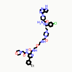 CCc1cccc(-c2cnc(C(=O)NCCOCCNCC(=O)N3CCN(CC[C@H](NC(=O)C4(N)CCN(c5ncnc6[nH]ccc56)CC4)c4ccc(Cl)cc4)CC3)c(NC(=O)CN3CCOCC3)c2)c1